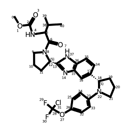 COC(=O)NC(C(=O)N1CCC[C@H]1c1nc2cc([C@@H]3CCCN3c3ccc(OC(F)(F)Cl)cc3)ccc2[nH]1)C(C)C